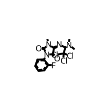 CN1C(=O)N(c2ccccc2F)C(=O)C1=NC(N(C)C)C(Cl)(Cl)Cl